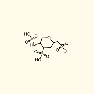 O=S(=O)(O)CC1CC(S(=O)(=O)O)C(NS(=O)(=O)O)CO1